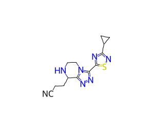 N#CCCC1NCCn2c(-c3nc(C4CC4)ns3)nnc21